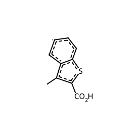 Cc1c(C(=O)O)sc2cc[c]cc12